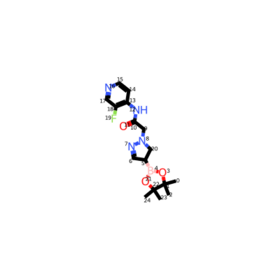 CC1(C)OB(C2C=NN(CC(=O)Nc3ccncc3F)C2)OC1(C)C